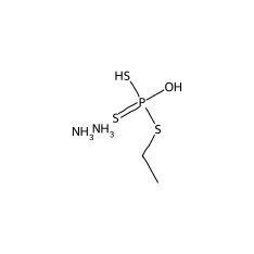 CCSP(O)(=S)S.N.N